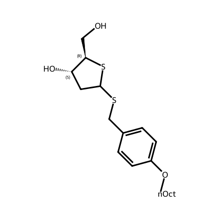 CCCCCCCCOc1ccc(CSC2C[C@H](O)[C@@H](CO)S2)cc1